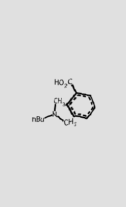 CCCCN(C)C.O=C(O)c1ccccc1